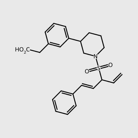 C=CC(C=Cc1ccccc1)S(=O)(=O)N1CCCC(c2cccc(CC(=O)O)c2)C1